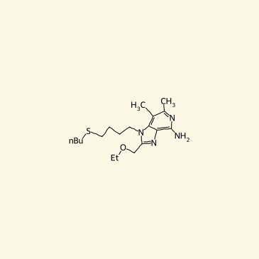 CCCCSCCCCn1c(COCC)nc2c(N)nc(C)c(C)c21